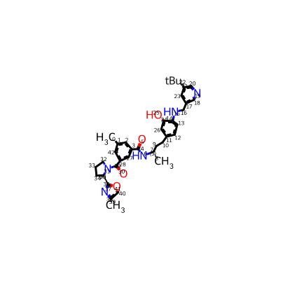 Cc1cc(C(=O)N[C@@H](C)CCc2ccc(NCc3cncc(C(C)(C)C)c3)c(O)c2)cc(C(=O)N2CCC[C@@H]2c2nc(C)co2)c1